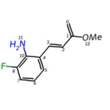 C=C(/C=C/c1cccc(F)c1N)OC